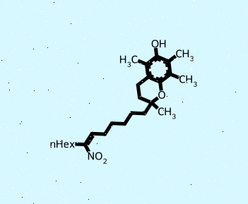 CCCCCCC(=CCCCCCC1(C)CCc2c(C)c(O)c(C)c(C)c2O1)[N+](=O)[O-]